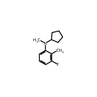 Cc1c(F)cccc1N(C)C1CCCC1